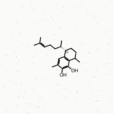 CC(C)=CCCC(C)[C@@H]1CCC(C)c2c1cc(C)c(O)c2O